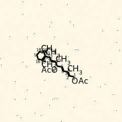 CC(=O)OC/C=C(C)/C=C/C(OC(C)=O)/C(C)=C/CC1=C(C)CCCC1(C)C